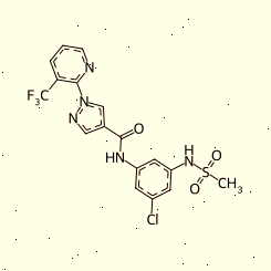 CS(=O)(=O)Nc1cc(Cl)cc(NC(=O)c2cnn(-c3ncccc3C(F)(F)F)c2)c1